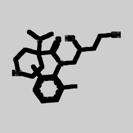 Cc1cccc(C)c1N(CC(O)CCO)C(=O)C1(N(C)C)CCNCC1